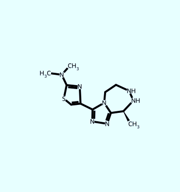 C[C@@H]1NNCCn2c(-c3csc(N(C)C)n3)nnc21